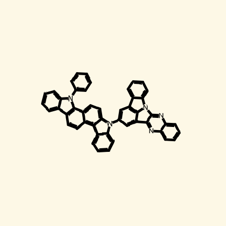 c1ccc(-n2c3ccccc3c3ccc4c(ccc5c4c4ccccc4n5-c4cc5c6ccccc6n6c7nc8ccccc8nc7c(c4)c56)c32)cc1